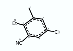 CCc1c(C)cc(Cl)cc1C#N